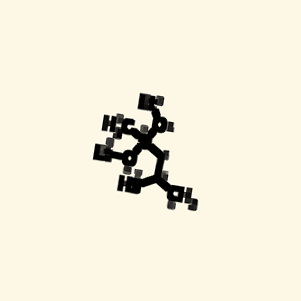 CCO[Si](C)(CC(C)S)OCC